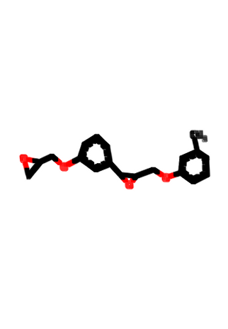 Cc1cccc(OCC2OC2c2cccc(OCC3CO3)c2)c1